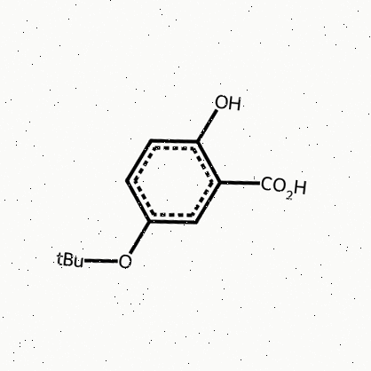 CC(C)(C)Oc1ccc(O)c(C(=O)O)c1